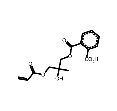 C=CC(=O)OCC(C)(O)COC(=O)c1ccccc1C(=O)O